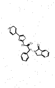 O=C(Nc1nc(C2=CCNC=C2)cs1)[C@@H](c1ccccc1)N1Cc2ccccc2C1=O